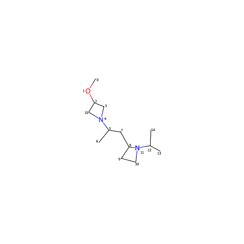 COC1CN(C(C)CC2CCN2C(C)C)C1